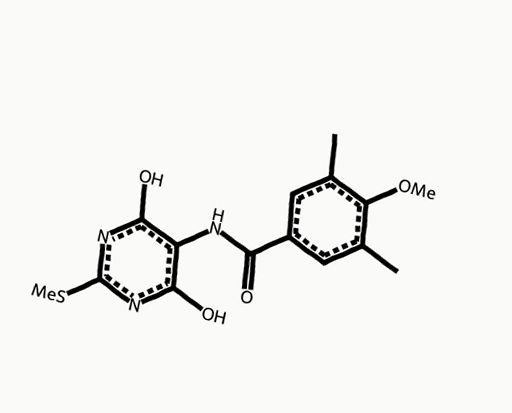 COc1c(C)cc(C(=O)Nc2c(O)nc(SC)nc2O)cc1C